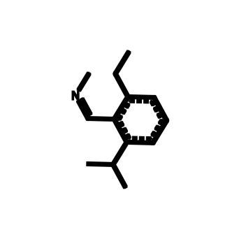 CCc1cccc(C(C)C)c1/C=N\C